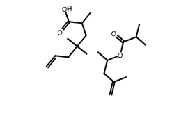 C=C(C)CC(C)OC(=O)C(C)C.C=CCC(C)(C)CC(C)C(=O)O